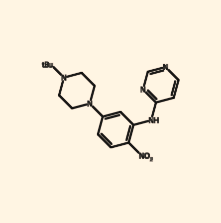 CC(C)(C)N1CCN(c2ccc([N+](=O)[O-])c(Nc3ccncn3)c2)CC1